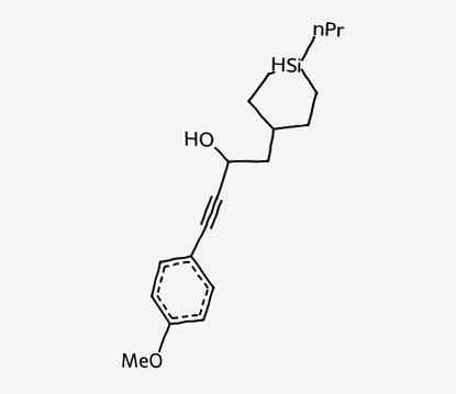 CCC[SiH]1CCC(CC(O)C#Cc2ccc(OC)cc2)CC1